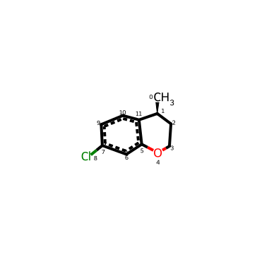 C[C@H]1CCOc2cc(Cl)ccc21